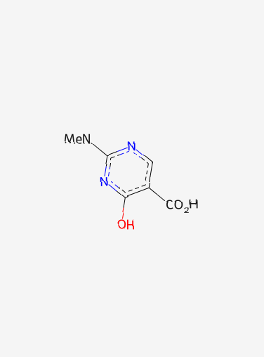 CNc1ncc(C(=O)O)c(O)n1